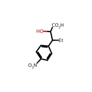 CCC(c1ccc([N+](=O)[O-])cc1)C(O)C(=O)O